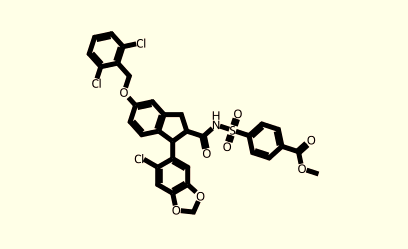 COC(=O)c1ccc(S(=O)(=O)NC(=O)C2Cc3cc(OCc4c(Cl)cccc4Cl)ccc3C2c2cc3c(cc2Cl)OCO3)cc1